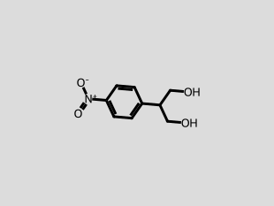 O=[N+]([O-])c1ccc(C(CO)CO)cc1